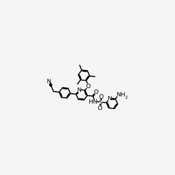 Cc1cc(C)c(Oc2nc(-c3ccc(CC#N)cc3)ccc2C(=O)NS(=O)(=O)c2cccc(N)n2)c(C)c1